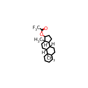 C[C@]12CCCCC1CC[C@@H]1[C@H]2CC[C@]2(C)C(OC(=O)C(F)(F)F)CC[C@@H]12